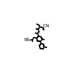 C=C(C#N)/C(=C/C)C(=C)/C=C(\C)c1cc(C)c(-c2cccc(C)c2)cc1CC(C)C(C)(C)C